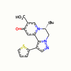 CC(C)(C)[C@@H]1Cn2ncc(-c3cccs3)c2-c2cc(=O)c(C(=O)O)cn21